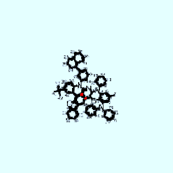 Cc1cc2c3c(c1)N(c1ccccc1)c1nc(N(c4cccc(-c5cccc6ccccc56)c4)c4ccc(C(C)(C)C)cc4-c4cccc5c4oc4ccccc45)ccc1B3c1ccccc1N2c1ccccc1